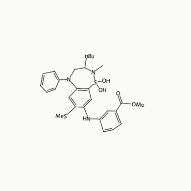 CCCCC1CN(c2ccccc2)c2cc(SC)c(Nc3cccc(C(=O)OC)c3)cc2S(O)(O)N1C